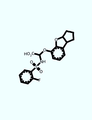 O=C(O)C(NS(=O)(=O)c1ccccc1F)Oc1cccc2c1OC1CCCC21